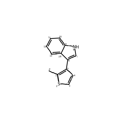 Cc1sccc1-c1c[nH]c2ccccc12